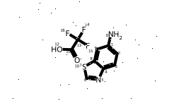 Nc1ccc2ncsc2c1.O=C(O)C(F)(F)F